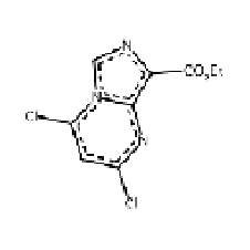 CCOC(=O)c1ncn2c(Cl)cc(Cl)nc12